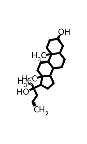 C=CCC(C)(O)C1CCC2C3CCC4CC(O)CCC4(C)C3CCC21C